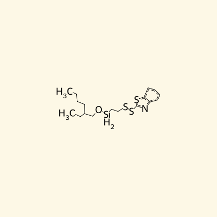 CCCCC(CC)CO[SiH2]CCSSc1nc2ccccc2s1